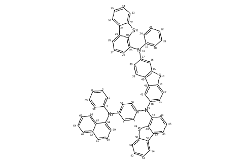 c1ccc(N(c2ccc(N(c3ccc4sc5cc(N(c6ccccc6)c6cccc7c6sc6ccccc67)ccc5c4c3)c3cccc4c3sc3ccccc34)cc2)c2cccc3ccccc23)cc1